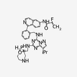 C=C(F)C(=O)Nc1ccc2c(-c3ccccc3CNc3nc(NC[C@]4(P)CNCCO4)nc4c(C(C)C)cnn34)nccc2c1